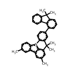 Cc1ccc2c(c1)c1cc(C)cc3c1n2-c1ccc(-c2cccc4c2-c2ccccc2C4(C)C)cc1C3(C)C